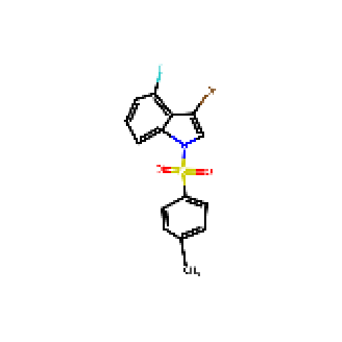 Cc1ccc(S(=O)(=O)n2cc(Br)c3c(F)cccc32)cc1